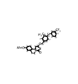 COc1ccc2c(c1)CCn1c-2cc(OCc2ccc(Oc3cccc(C(F)(F)F)c3)c(C)c2)nc1=O